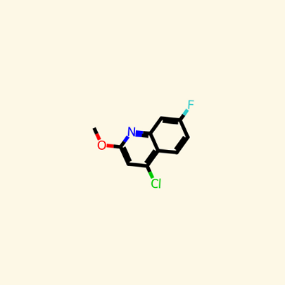 COc1cc(Cl)c2ccc(F)cc2n1